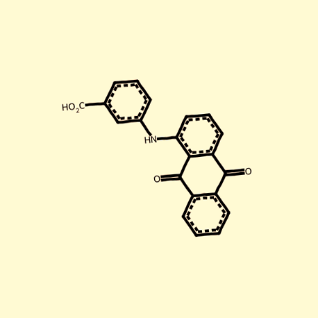 O=C(O)c1cccc(Nc2cccc3c2C(=O)c2ccccc2C3=O)c1